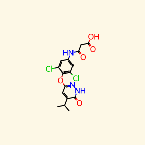 CC(C)c1cc(Oc2c(Cl)cc(NC(=O)CC(=O)O)cc2Cl)n[nH]c1=O